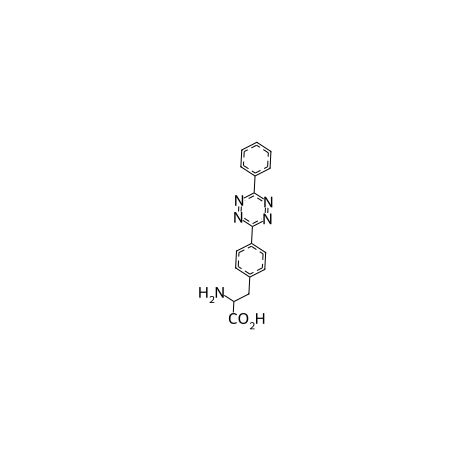 NC(Cc1ccc(-c2nnc(-c3ccccc3)nn2)cc1)C(=O)O